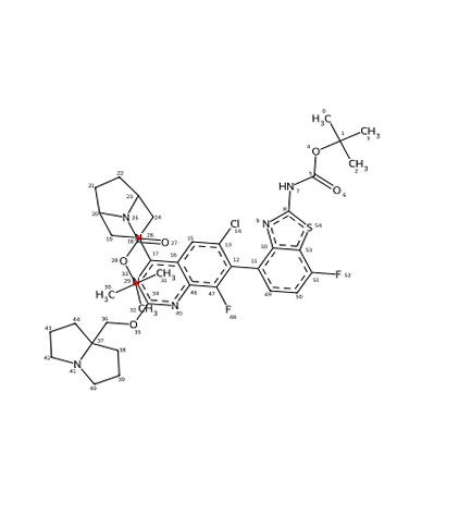 CC(C)(C)OC(=O)Nc1nc2c(-c3c(Cl)cc4c(N5CC6CCC(C5)N6C(=O)OC(C)(C)C)nc(OCC56CCCN5CCC6)nc4c3F)ccc(F)c2s1